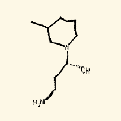 CC1CCCN([C@H](O)CCN)C1